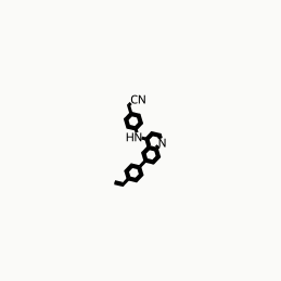 C=Cc1ccc(-c2ccc3nccc(Nc4ccc(CC#N)cc4)c3c2)cc1